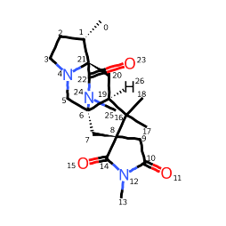 C[C@H]1CCN2C[C@]34C[C@]5(CC(=O)N(C)C5=O)C(C)(C)[C@@H]3C[C@]12C(=O)N4C